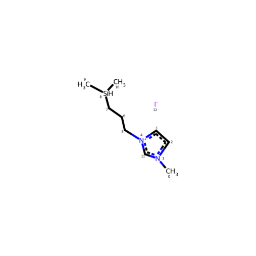 Cn1cc[n+](CCC[SiH](C)C)c1.[I-]